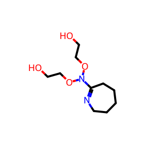 OCCON(OCCO)C1=NCCCCC1